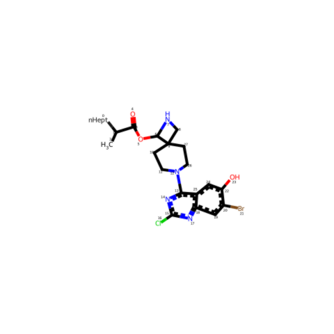 CCCCCCCC(C)C(=O)OC1NCC12CCN(c1nc(Cl)nc3cc(Br)c(O)cc13)CC2